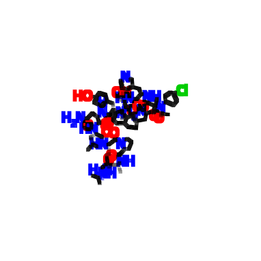 CC(=O)N(c1ccc(Cl)cc1)C(C)(C(=O)N[C@H](Cc1cccnc1)C(=O)N[C@@H](CO)C(=O)N(C)[C@@H](Cc1ccc(O)cc1)C(=O)N[C@H](CC(N)=O)C(=O)N[C@@H](CC(C)C)C(=O)N[C@@H](CCCCNC(C)C)C(=O)N1CCC[C@H]1C(=O)N[C@H](C)C(N)=O)C(=O)[C@H](N)Cc1ccc2ccccc2c1